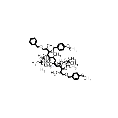 COc1ccc(COC[C@H](C)[C@H](O[Si](C)(C)C(C)(C)C)[C@@H](C)/C=C(/C)C[C@H](C)[C@@H](O[Si](C)(C)C(C)(C)C)[C@H](C)[C@H](OCc2ccc(OC)cc2)[C@@H](C)COCc2ccccc2)cc1